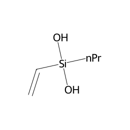 C=C[Si](O)(O)CCC